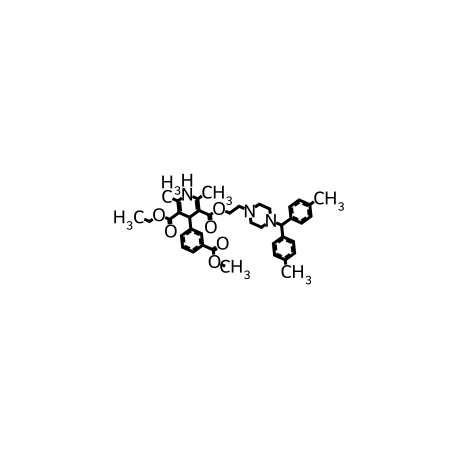 CCOC(=O)C1=C(C)NC(C)=C(C(=O)OCCN2CCN(C(c3ccc(C)cc3)c3ccc(C)cc3)CC2)C1c1cccc(C(=O)OC)c1